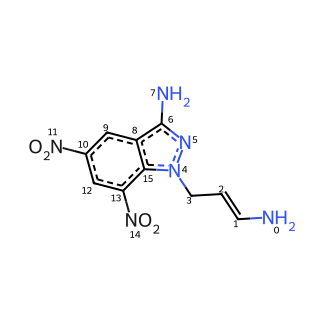 NC=CCn1nc(N)c2cc([N+](=O)[O-])cc([N+](=O)[O-])c21